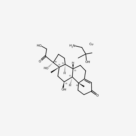 CC(C)(O)CN.C[C@]12CCC(=O)C=C1CC[C@@H]1[C@@H]2[C@@H](O)C[C@@]2(C)[C@H]1CC[C@]2(O)C(=O)CO.[Cu]